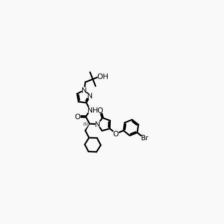 CC(C)(O)Cn1ccc(NC(=O)[C@H](CC2CCCCC2)N2CC(Oc3cccc(Br)c3)=CC2=O)n1